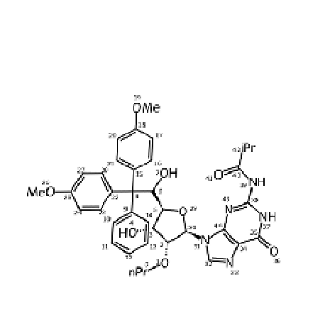 CCCO[C@@H]1[C@H](O)[C@@H](C(O)C(c2ccccc2)(c2ccc(OC)cc2)c2ccc(OC)cc2)O[C@H]1n1cnc2c(=O)[nH]c(NC(=O)C(C)C)nc21